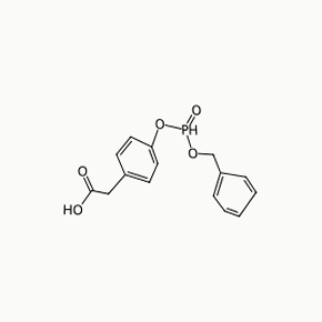 O=C(O)Cc1ccc(O[PH](=O)OCc2ccccc2)cc1